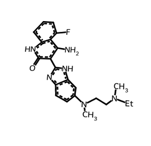 CCN(C)CCN(C)c1ccc2nc(-c3c(N)c4c(F)cccc4[nH]c3=O)[nH]c2c1